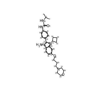 CC(C)NC(=O)Nc1ccc(-c2c(N)c3ccc(OCCCN4CCOCC4)cc3n2C2CCC2)cc1